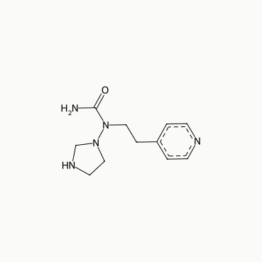 NC(=O)N(CCc1ccncc1)N1CCNC1